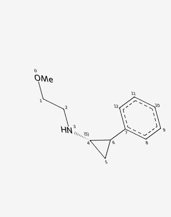 COCCN[C@H]1CC1c1ccccc1